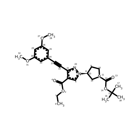 CCOC(=O)c1cn([C@H]2CCN(C(=O)OC(C)(C)C)C2)nc1C#Cc1cc(OC)cc(OC)c1